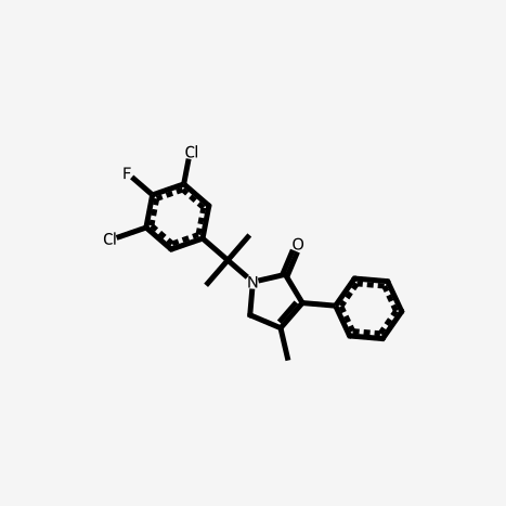 CC1=C(c2ccccc2)C(=O)N(C(C)(C)c2cc(Cl)c(F)c(Cl)c2)C1